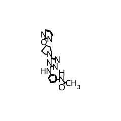 CC(=O)Nc1cccc(Nc2ncnc(N3CCC(Oc4ncccn4)CC3)n2)c1